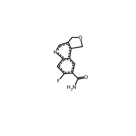 NC(=O)c1cc2c3c(cnc2cc1F)COC3